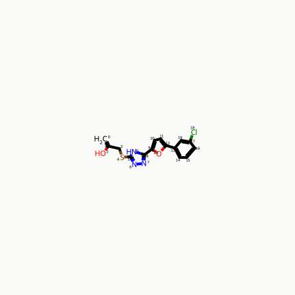 C=C(O)CSc1nnc(-c2ccc(-c3cccc(Cl)c3)o2)[nH]1